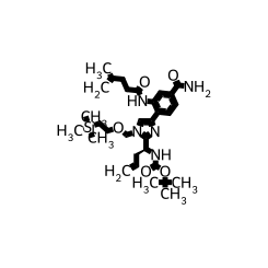 C=CC[C@H](NC(=O)OC(C)(C)C)c1nc(-c2ccc(C(N)=O)cc2NC(=O)CCC(=C)C)cn1COCC[Si](C)(C)C